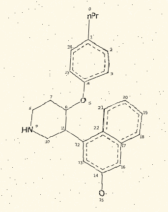 CCCc1ccc(OC2CCNCC2c2cc([O])cc3ccccc23)cc1